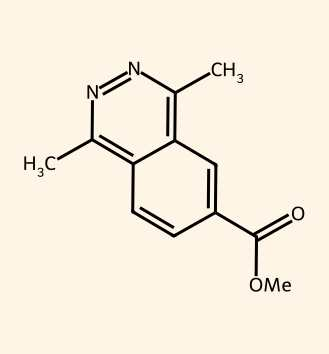 COC(=O)c1ccc2c(C)nnc(C)c2c1